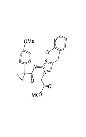 COC(=O)Cn1cc(Cc2ccccc2Cl)s/c1=N/C(=O)C1(c2ccc(OC)cc2)CC1